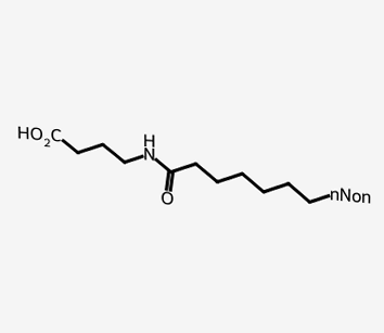 CCCCCCCCCCCCCCCC(=O)NCCCC(=O)O